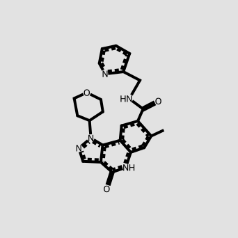 Cc1cc2[nH]c(=O)c3cnn(C4CCOCC4)c3c2cc1C(=O)NCc1ccccn1